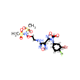 CS(=O)(=O)N(OCCNc1nonc1-c1noc(=O)n1-c1ccc(F)c(Br)c1)S(C)(=O)=O